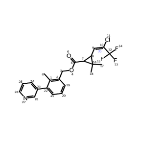 Cc1c(COC(=O)C2C(/C=C(/Cl)C(F)(F)F)C2(C)C)cccc1-c1cccnc1